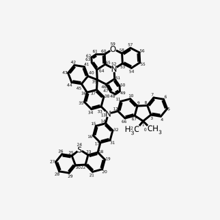 CC1(C)c2ccccc2-c2ccc(N(c3ccc(-c4cccc5c4sc4ccccc45)cc3)c3ccc4c(c3)C3(c5ccccc5-4)c4ccccc4N4c5ccccc5Oc5cccc3c54)cc21